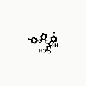 Cc1ccc(Oc2ccccc2CC2c3cc(F)ccc3NC2(C)CC(=O)O)cc1